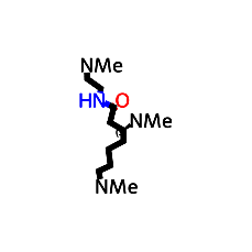 CNCCCC[C@@H](CC(=O)NCCNC)NC